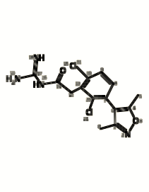 Cc1noc(C)c1-c1ccc(Cl)c(CC(=O)NC(=N)N)c1Cl